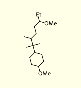 CCC(CCC(C)C(C)(C)C1CCC(OC)CC1)OC